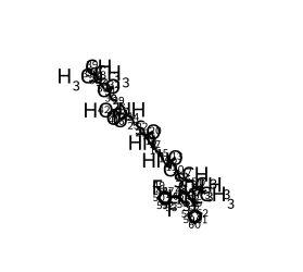 CC(C)(C)[C@@H](C[Si](C)(C)CCOC(=O)NCCCNC(=O)CSCCC(=O)N[C@@H](CCC(=O)OCC[Si](C)(C)C)C(=O)O)c1cc(-c2cc(F)ccc2F)cn1Cc1ccccc1